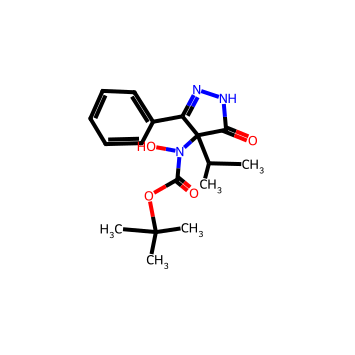 CC(C)C1(N(O)C(=O)OC(C)(C)C)C(=O)NN=C1c1ccccc1